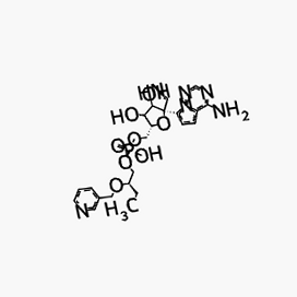 CC[C@H](COP(=O)(O)OC[C@H]1O[C@@](C=N)(c2ccc3c(N)ncnn23)C(O)C1O)OCc1cccnc1